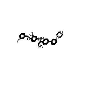 Fc1cccc(COc2ccc(Nc3cnnc4cc(-c5cccc(N6CCOCC6)c5)ccc34)cc2Cl)c1